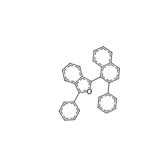 c1ccc(-c2ccc3ccccc3c2-c2oc(-c3ccccc3)c3ccccc23)cc1